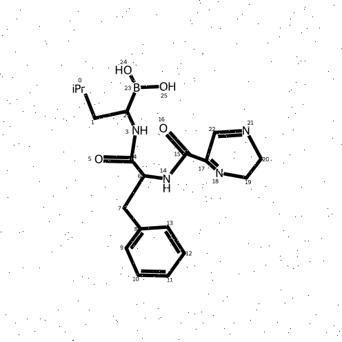 CC(C)CC(NC(=O)C(Cc1ccccc1)NC(=O)C1=NCCN=C1)B(O)O